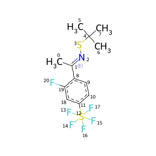 C/C(=N\SC(C)(C)C)c1ccc(S(F)(F)(F)(F)F)cc1F